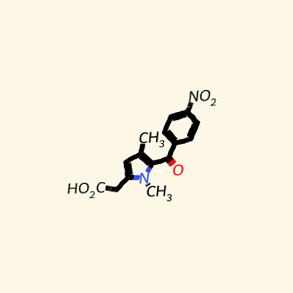 Cc1cc(CC(=O)O)n(C)c1C(=O)c1ccc([N+](=O)[O-])cc1